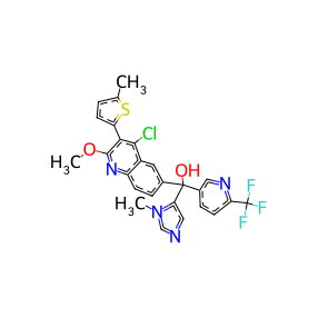 COc1nc2ccc(C(O)(c3ccc(C(F)(F)F)nc3)c3cncn3C)cc2c(Cl)c1-c1ccc(C)s1